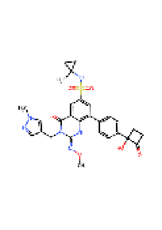 CO/N=c1\[nH]c2c(-c3ccc(C4(O)CCC4=O)cc3)cc(S(=O)(=O)NC3(C)CC3)cc2c(=O)n1Cc1cnn(C)c1